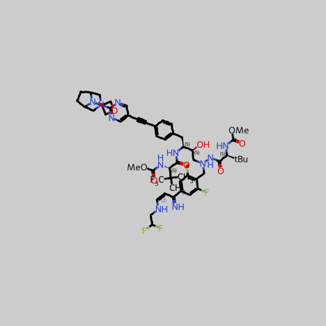 COC(=O)N[C@H](C(=O)NN(Cc1c(F)cc(C(=N)/C=C\NCC(F)F)cc1F)C[C@H](O)[C@H](Cc1ccc(C#Cc2cnc(N3CC4CCC(C3)N4C3COC3)nc2)cc1)NC(=O)[C@@H](NC(=O)OC)C(C)(C)C(F)(F)F)C(C)(C)C